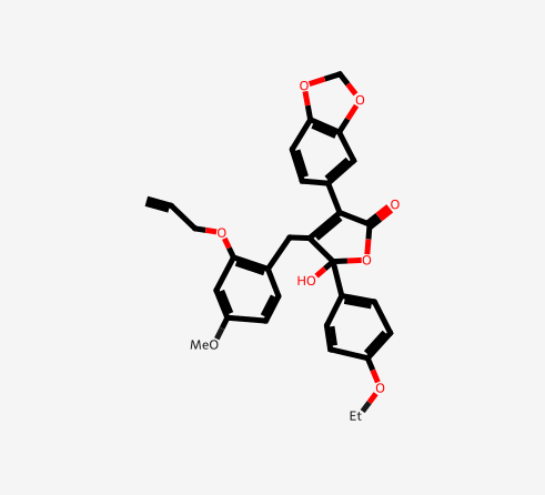 C=CCOc1cc(OC)ccc1CC1=C(c2ccc3c(c2)OCO3)C(=O)OC1(O)c1ccc(OCC)cc1